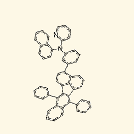 c1ccc(-c2c3c(c(-c4ccccc4)c4ccccc24)-c2ccc(-c4cccc(N(c5ccccn5)c5cccc6ccccc56)c4)c4cccc-3c24)cc1